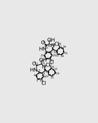 O=C1Nc2ccc(Cl)cc2C(c2ccccc2Cl)=NC1O.O=C1Nc2ccc(Cl)cc2C(c2ccccc2Cl)=NC1O